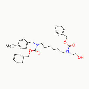 COc1ccc(CN(CCCCCCN(CCO)C(=O)OCc2ccccc2)C(=O)OCc2ccccc2)cc1